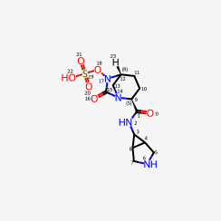 O=C(NC1C2CNCC21)[C@@H]1CC[C@@H]2CN1C(=O)N2OS(=O)(=O)O